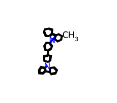 CC1CCc2c(c3c(n2C2=CC=C(C4=CCC(N5c6ccccc6C6C=CC=CC65)C=C4)C=CC2)C=CCC=C3)C1